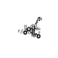 CCC(C)C(NC(=O)Cc1ccccc1F)C(=O)N[C@]1(C(=O)NC(C(=O)OCCCn2ccnc2)C(C)CC)CCc2[nH]c3c(C(F)(F)F)cccc3c2C1